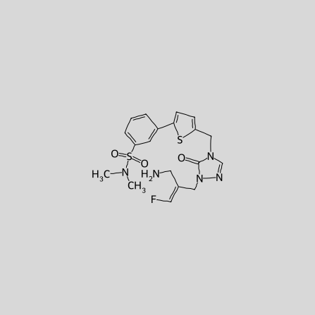 CN(C)S(=O)(=O)c1cccc(-c2ccc(Cn3cnn(C/C(=C/F)CN)c3=O)s2)c1